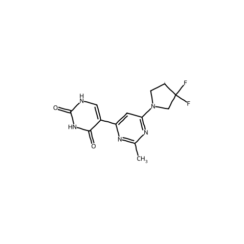 Cc1nc(-c2c[nH]c(=O)[nH]c2=O)cc(N2C[CH]C(F)(F)C2)n1